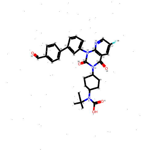 CC(C)(C)N(C(=O)O)C1CCC(n2c(=O)c3cc(F)cnc3n(-c3cccc(-c4ccc(C=O)cc4)c3)c2=O)CC1